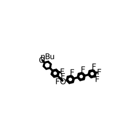 CCCCOC1CCC(c2ccc(C(F)(F)Oc3ccc(-c4ccc(-c5cc(F)c(F)c(F)c5)c(F)c4)c(F)c3)c(F)c2)CC1